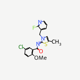 COc1ccc(Cl)cc1C(=O)/N=c1\sc(C)cn1Cc1cccnc1F